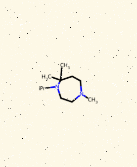 CC(C)N1CCN(C)CCC1(C)C